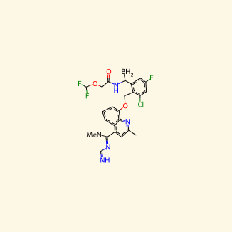 BC(NC(=O)COC(F)F)c1cc(F)cc(Cl)c1COc1cccc2c(/C(=N/C=N)NC)cc(C)nc12